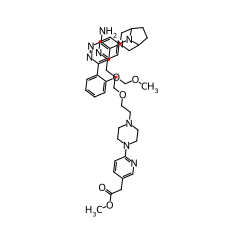 COCOc1ccccc1-c1cc(N2CC3CCC(C2)N3c2ccnc(CCCOCCN3CCN(c4ccc(CC(=O)OC)cn4)CC3)c2)c(N)nn1